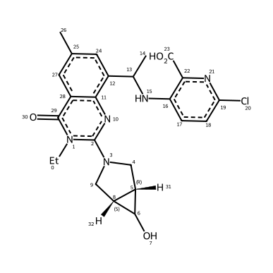 CCn1c(N2C[C@@H]3C(O)[C@@H]3C2)nc2c(C(C)Nc3ccc(Cl)nc3C(=O)O)cc(C)cc2c1=O